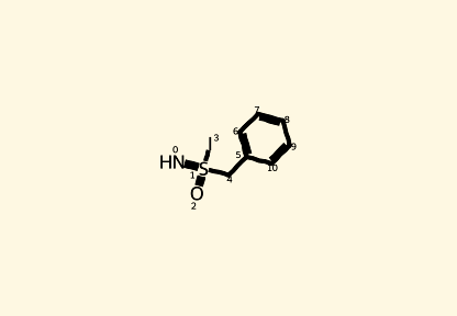 N=S(=O)(I)Cc1ccccc1